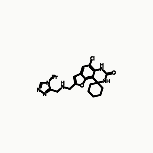 CC(C)n1cnnc1CNCc1cc2cc(Cl)c3c(c2o1)C1(CCCCC1)NC(=O)N3